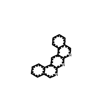 c1ccc2c(c1)cnc1nc3ncc4ccccc4c3cc12